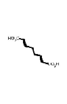 O=C(O)C=CCCC=CC(=O)O